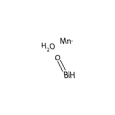 O.[Mn].[O]=[BiH]